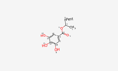 CCCCCC(C)OC(=O)c1cc(O)c(O)c(O)c1